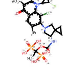 CC(C)c1cc2c(=O)c(C(=O)O)cn(C3C[C@@H]3F)c2c(Cl)c1N1C[C@@H](NC(=O)OC(C)(P(=O)(O)O)P(=O)(O)O)C2(CC2)C1